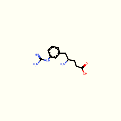 N=C(N)Nc1cccc(CC(N)CCC(=O)O)c1